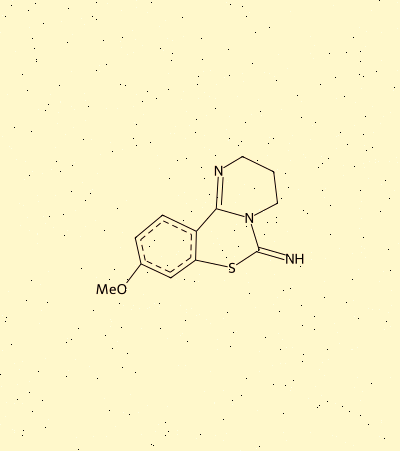 COc1ccc2c(c1)SC(=N)N1CCCN=C21